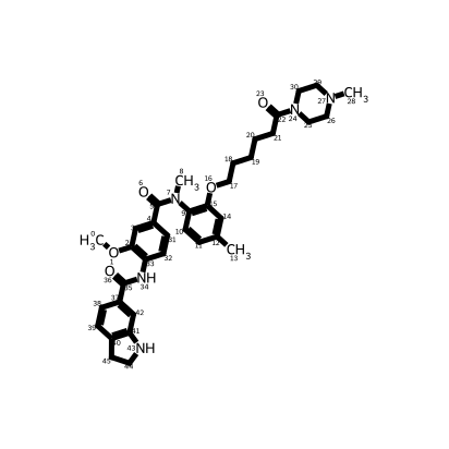 COc1cc(C(=O)N(C)c2ccc(C)cc2OCCCCCC(=O)N2CCN(C)CC2)ccc1NC(=O)c1ccc2c(c1)NCC2